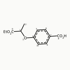 CCOC(=O)C(C)Oc1ccc(C(=O)O)cc1